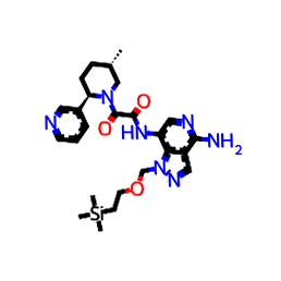 C[C@H]1CC[C@H](c2cccnc2)N(C(=O)C(=O)Nc2cnc(N)c3cnn(COCC[Si](C)(C)C)c23)C1